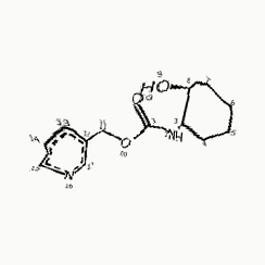 O=C(N[C@H]1CCCC[C@@H]1O)OCc1cccnc1